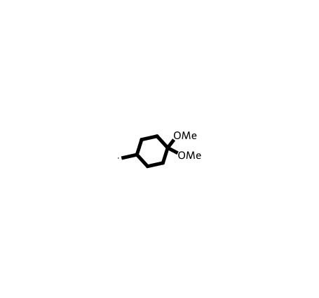 [CH2]C1CCC(OC)(OC)CC1